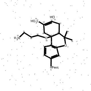 CCCCCc1ccc2c(c1)OC(C)(C)C1CC=C(C(=O)O)CC21OCCCN.Cl